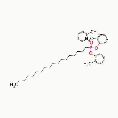 CCCCCCCCCCCCCCCCCC[PH](Oc1ccccc1C)(Oc1ccccc1C)Oc1ccccc1C